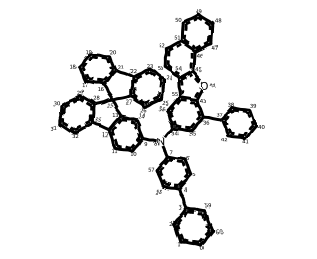 c1ccc(-c2ccc(N(c3ccc4c(c3)C3(c5ccccc5-c5ccccc53)c3ccccc3-4)c3cc(-c4ccccc4)c4oc5c6ccccc6ccc5c4c3)cc2)cc1